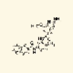 COc1cc(C(=O)Nc2cc(NC(=O)c3ccc4c(c3)OCCO4)ccc2C)cc2sc(N)nc12